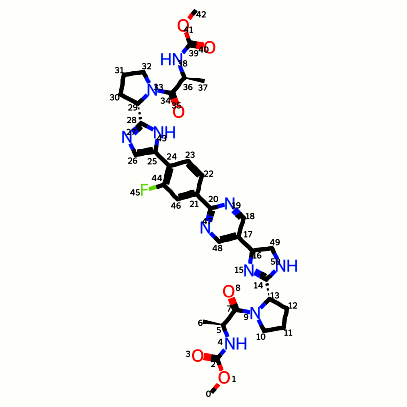 COC(=O)N[C@@H](C)C(=O)N1CCC[C@H]1C1=NC(c2cnc(-c3ccc(-c4cnc([C@@H]5CCCN5C(=O)[C@H](C)NC(=O)OC)[nH]4)c(F)c3)nc2)CN1